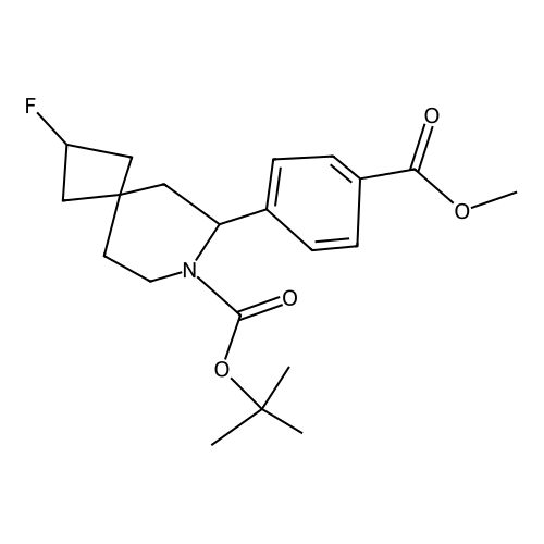 COC(=O)c1ccc(C2CC3(CCN2C(=O)OC(C)(C)C)CC(F)C3)cc1